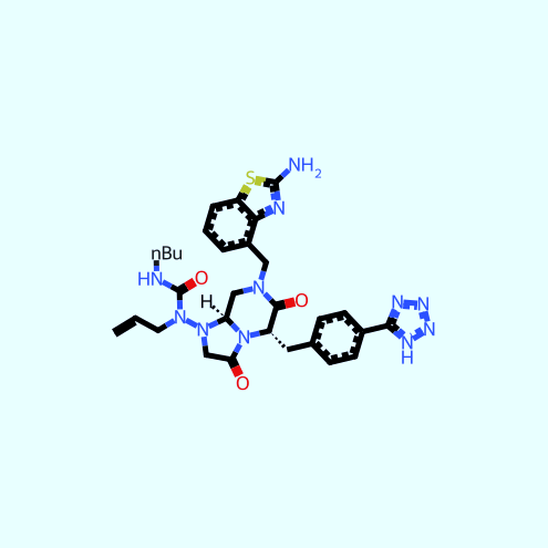 C=CCN(C(=O)NCCCC)N1CC(=O)N2[C@@H](Cc3ccc(-c4nnn[nH]4)cc3)C(=O)N(Cc3cccc4sc(N)nc34)C[C@@H]21